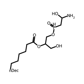 CCCCCCCCCCCCCCCC(=O)OC(CO)CO[PH](=O)CC(N)O